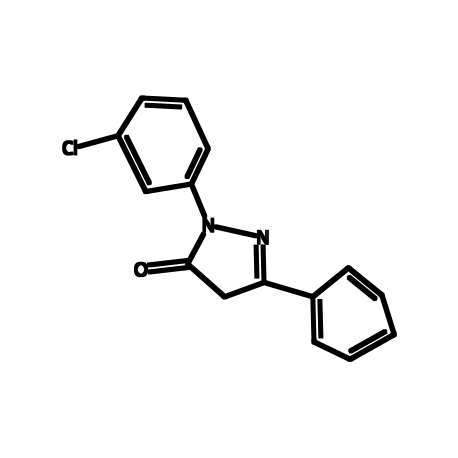 O=C1CC(c2ccccc2)=NN1c1cccc(Cl)c1